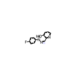 Oc1cccnc1/C=N\Nc1ccc(F)cc1